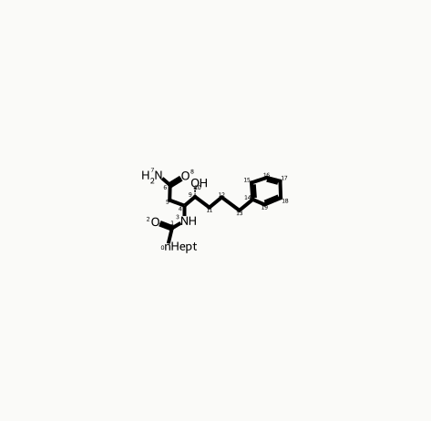 CCCCCCCC(=O)NC(CC(N)=O)[C@H](O)CCCc1ccccc1